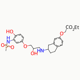 CCOC(=O)COc1ccc2c(c1)CC(NCC(O)COc1ccc(O)c(NS(C)(=O)=O)c1)CC2